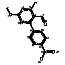 COc1nc(C)c(C=O)c(-c2ccc([N+](=O)[O-])cc2)n1